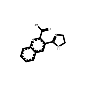 O=C(O)c1nc2ccccc2cc1C1=NCCN1